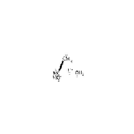 CC#N.O.[Li+].[OH-]